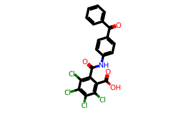 O=C(c1ccccc1)c1ccc(NC(=O)c2c(Cl)c(Cl)c(Cl)c(Cl)c2C(=O)O)cc1